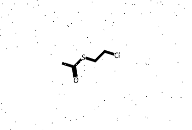 CC(=O)SCCCl